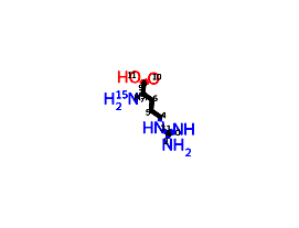 N=C(N)NCCC[C@H]([15NH2])C(=O)O